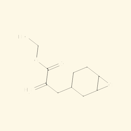 C=C(CC1CCC2OC2C1)C(=O)OCC